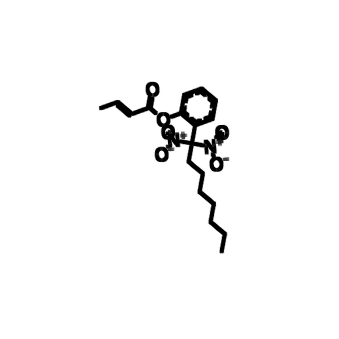 C/C=C/C(=O)Oc1ccccc1C(CCCCCCC)([N+](=O)[O-])[N+](=O)[O-]